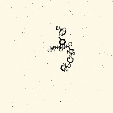 CCCNC(=O)c1cc(CN2CCO[C@H](CC)C2)ccc1NC(=O)c1csc(N2CCC(Oc3ncccn3)CC2)n1